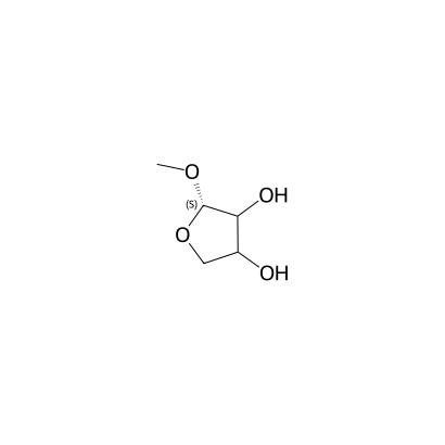 CO[C@H]1OCC(O)C1O